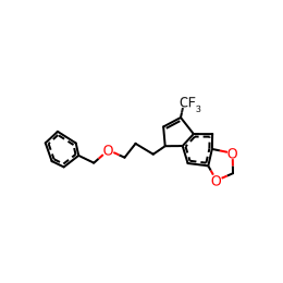 FC(F)(F)C1=CC(CCCOCc2ccccc2)c2cc3c(cc21)OCO3